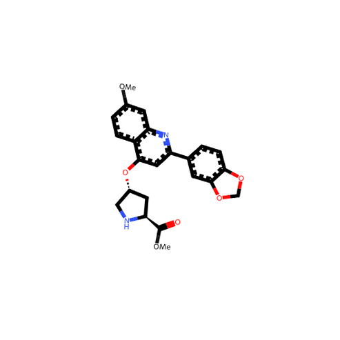 COC(=O)[C@@H]1C[C@@H](Oc2cc(-c3ccc4c(c3)OCO4)nc3cc(OC)ccc23)CN1